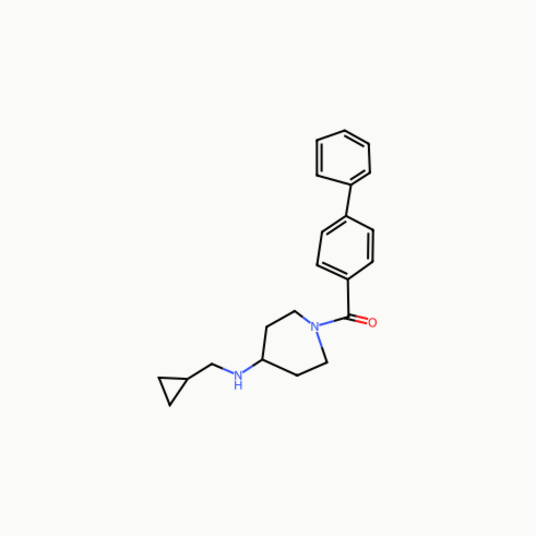 O=C(c1ccc(-c2ccccc2)cc1)N1CCC(NCC2CC2)CC1